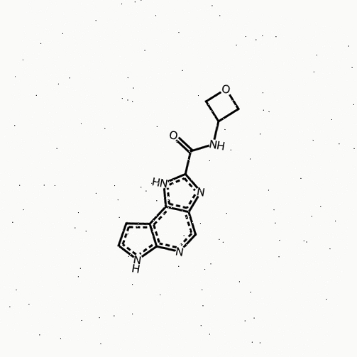 O=C(NC1COC1)c1nc2cnc3[nH]ccc3c2[nH]1